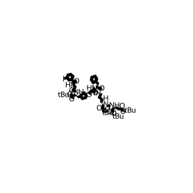 CC(C)(C)OC(=O)CC[C@H](NC(=O)N[C@@H](CCCCNC(=O)[C@H](Cc1ccccc1)NC(=O)COc1ccc(C[C@H](NC(=O)CNC(=O)c2cccc(I)c2)C(=O)OC(C)(C)C)cc1)C(=O)OC(C)(C)C)C(=O)OC(C)(C)C